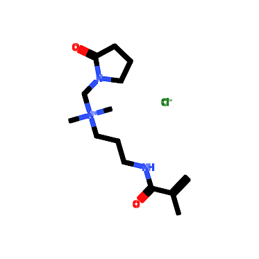 C=C(C)C(=O)NCCC[N+](C)(C)CN1CCCC1=O.[Cl-]